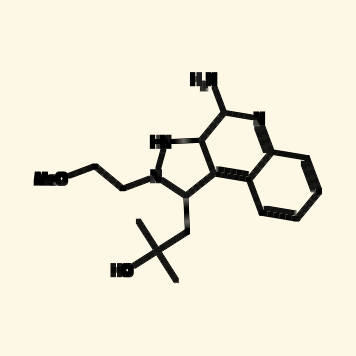 COCCN1NC2C(=c3ccccc3=NC2N)C1CC(C)(C)O